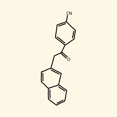 N#Cc1ccc(C(=O)Cc2ccc3ccccc3c2)cc1